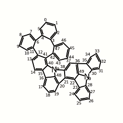 c1ccc2c(c1)-c1ccccc1-c1ccc3c4cccc5c6c7c8ccccc8n8c9ccccc9c(cc6n(c3c1-c1ccccc1-2)c45)c78